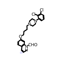 C/C=C\c1ccc(OCCCCN2CCN(c3cccc(Cl)c3Cl)CC2)cc1NC=O